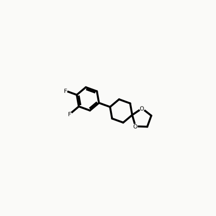 Fc1ccc(C2CCC3(CC2)OCCO3)cc1F